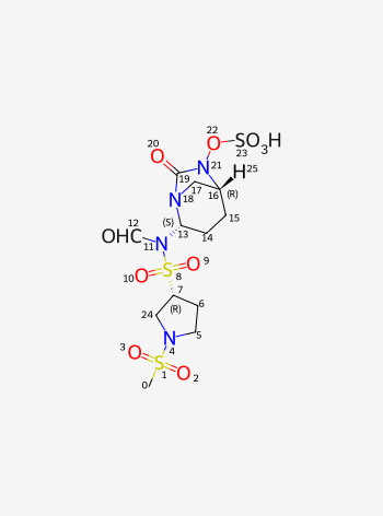 CS(=O)(=O)N1CC[C@@H](S(=O)(=O)N(C=O)[C@H]2CC[C@@H]3CN2C(=O)N3OS(=O)(=O)O)C1